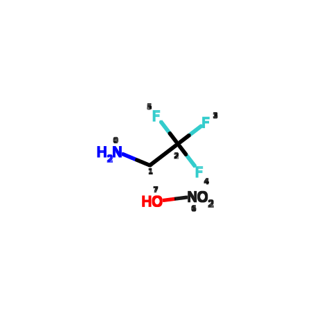 NCC(F)(F)F.O=[N+]([O-])O